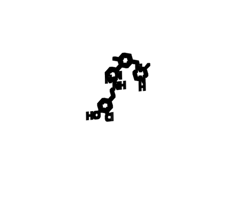 Cc1ccc(CN2CCNC[C@@H]2C)cc1-c1ccnc(NCCc2ccc(O)c(Cl)c2)n1